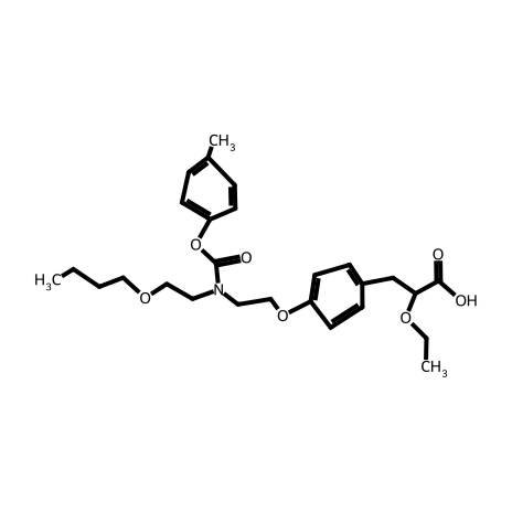 CCCCOCCN(CCOc1ccc(CC(OCC)C(=O)O)cc1)C(=O)Oc1ccc(C)cc1